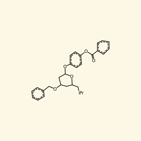 CC(C)CC1CC(OCc2ccccc2)CC(Oc2ccc(OC(=O)c3ccccc3)cc2)O1